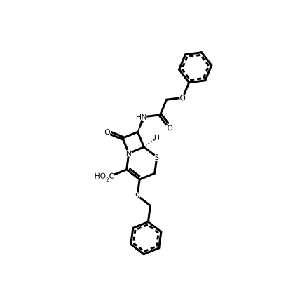 O=C(COc1ccccc1)N[C@@H]1C(=O)N2C(C(=O)O)=C(SCc3ccccc3)CS[C@H]12